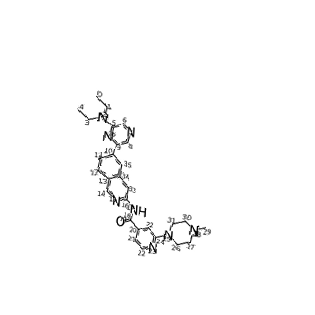 CCN(CC)c1cncc(-c2ccc3cnc(NC(=O)c4ccnc(N5CCN(C)CC5)c4)cc3c2)n1